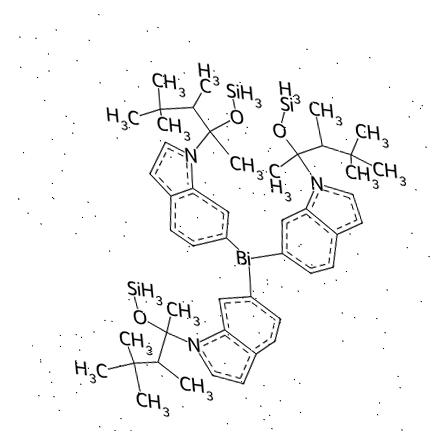 CC(C(C)(C)C)C(C)(O[SiH3])n1ccc2cc[c]([Bi]([c]3ccc4ccn(C(C)(O[SiH3])C(C)C(C)(C)C)c4c3)[c]3ccc4ccn(C(C)(O[SiH3])C(C)C(C)(C)C)c4c3)cc21